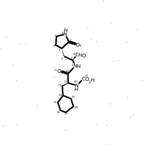 O=C[C@H](C[C@@H]1CCNC1=O)NC(=O)[C@H](CC1CCCCC1)NC(=O)O